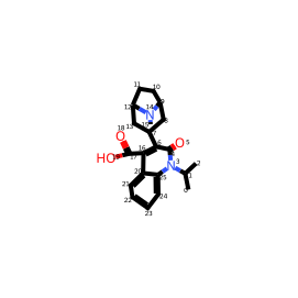 CC(C)n1c(=O)c(C2CC3CCC(C2)N3C)c(C(=O)O)c2ccccc21